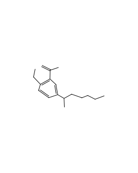 C=C(C)c1cc(C(C)CCCCC)ccc1CC